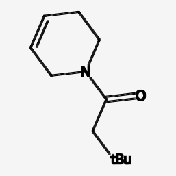 CC(C)(C)CC(=O)N1CC=CCC1